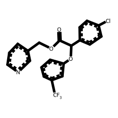 O=C(OCc1cccnc1)C(Oc1cccc(C(F)(F)F)c1)c1ccc(Cl)cc1